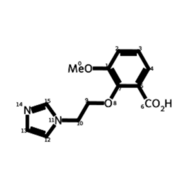 COc1cccc(C(=O)O)c1OCCn1ccnc1